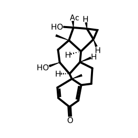 CC(=O)[C@@]1(O)[C@@H]2C[C@@H]2[C@H]2[C@@H]3CCC4=CC(=O)C=C[C@]4(C)[C@H]3[C@@H](O)C[C@@]21C